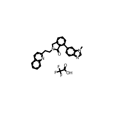 Cn1cnc2ccc(-c3cccc4c3C(=O)N(CCc3ccc5ccccc5n3)C4)cc21.O=C(O)C(F)(F)F